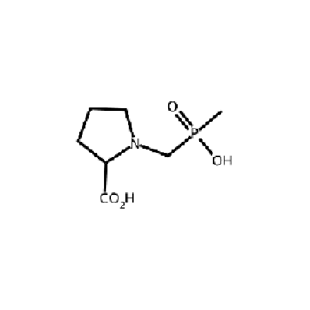 CP(=O)(O)CN1CCCC1C(=O)O